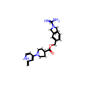 C=C/C=C(\C=C/N)N1CCC(C(=O)OCc2ccc3c(c2)CN(C(=N)N)C3)CC1